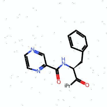 CC(C)C(=O)[C@H](Cc1ccccc1)NC(=O)c1cnccn1